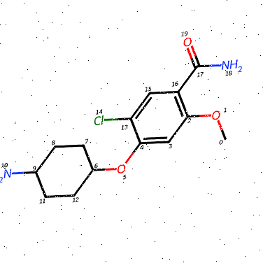 COc1cc(OC2CCC(N)CC2)c(Cl)cc1C(N)=O